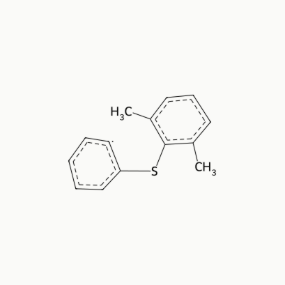 Cc1cccc(C)c1Sc1[c]cccc1